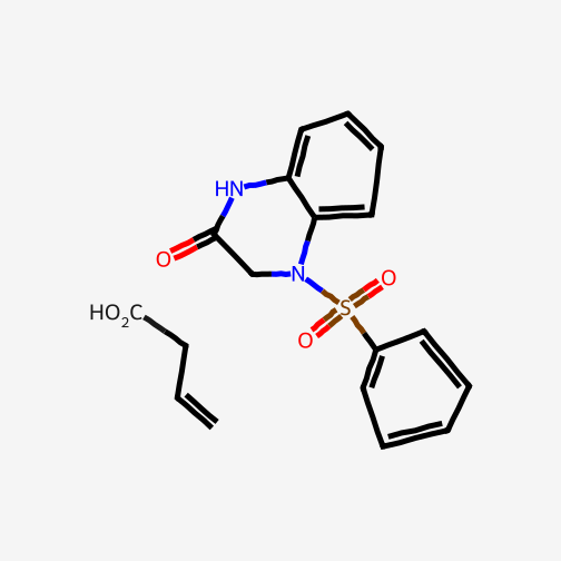 C=CCC(=O)O.O=C1CN(S(=O)(=O)c2ccccc2)c2ccccc2N1